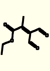 CCOC(=O)C(C)=C(C=O)C=O